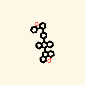 C1=Cc2oc3cccc(-c4ccc(-c5c6ccccc6c(-c6cc7cccc8oc9cccc6c9c78)c6ccccc56)cc4)c3c2CC1